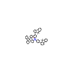 CC1(C)c2ccccc2-c2cccc(-c3ccc(N(c4ccc(-c5cccc6c5C(C)(C)c5ccccc5-6)cc4)c4cccc5c4-c4ccccc4C54c5ccccc5-c5ccccc54)cc3)c21